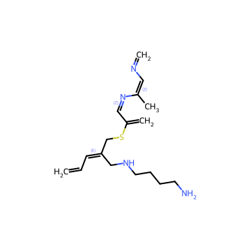 C=C/C=C(\CNCCCCN)CSC(=C)/C=N\C(C)=C/N=C